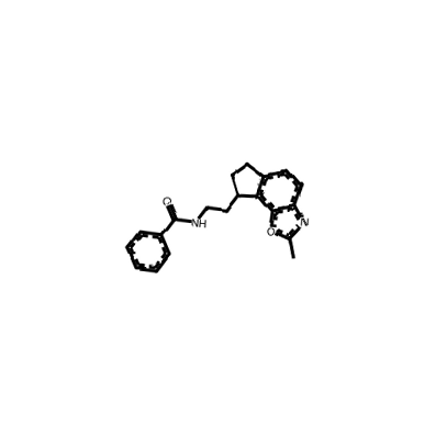 Cc1nc2ccc3c(c2o1)C(CCNC(=O)c1ccccc1)CC3